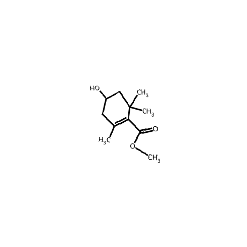 COC(=O)C1=C(C)CC(O)CC1(C)C